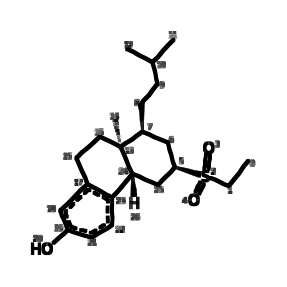 CCS(=O)(=O)[C@@H]1C[C@H](CCC(C)C)[C@]2(C)CCc3cc(O)ccc3[C@H]2C1